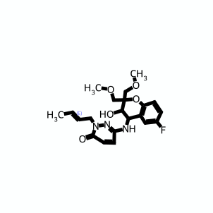 C/C=C/Cn1nc(NC2c3cc(F)ccc3OC(COC)(COC)C2O)ccc1=O